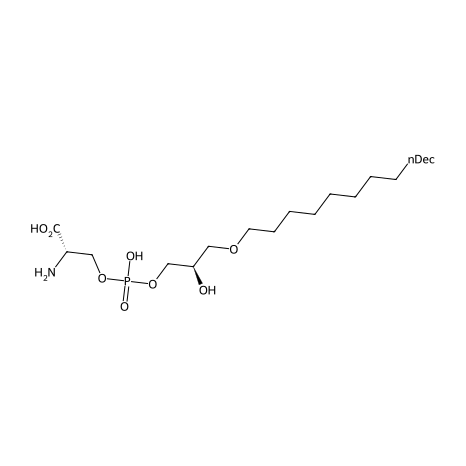 CCCCCCCCCCCCCCCCCCOC[C@@H](O)COP(=O)(O)OC[C@H](N)C(=O)O